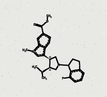 COC(=O)c1ccc2c([C@@H]3CN(C4CCc5cccc(F)c54)C[C@H]3N(C)C)cn(C)c2c1